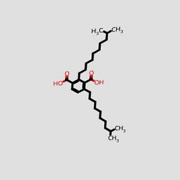 CC(C)CCCCCCCCc1ccc(C(=O)O)c(CCCCCCCCC(C)C)c1C(=O)O